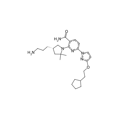 CC1(C)C[C@H](CCCN)CN1c1nc(-n2ccc(OCCC3CCCC3)n2)ccc1C(N)=O